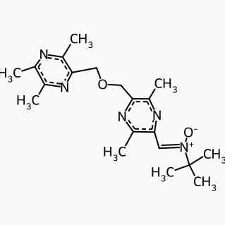 Cc1nc(C)c(COCc2nc(C)c(/C=[N+](\[O-])C(C)(C)C)nc2C)nc1C